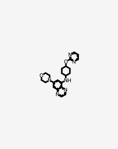 c1cnc(OC2CCC(Nc3cc(N4CCOCC4)cc4nccnc34)CC2)nc1